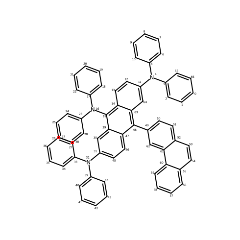 c1ccc(N(c2ccccc2)c2ccc3c(N(c4ccccc4)c4ccccc4)c4cc(N(c5ccccc5)c5ccccc5)ccc4c(-c4ccc5ccc6ccccc6c5c4)c3c2)cc1